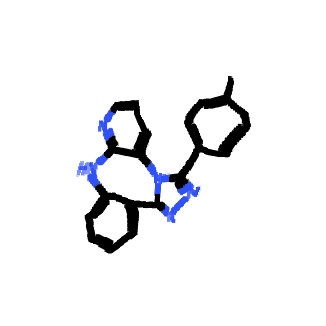 Cc1ccc(-c2nnc3n2-c2cccnc2Nc2ccccc2-3)cc1